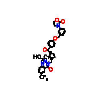 O=C(O)[C@H]1[C@H](Cn2nnc3ccc(C(F)(F)F)cc3c2=O)CC[C@@H]1C(=O)c1ccc(OCc2cccc(N3CCOC3=O)c2)cc1